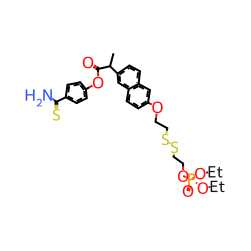 CCOP(=O)(OCC)OCCSSCCOc1ccc2cc(C(C)C(=O)Oc3ccc(C(N)=S)cc3)ccc2c1